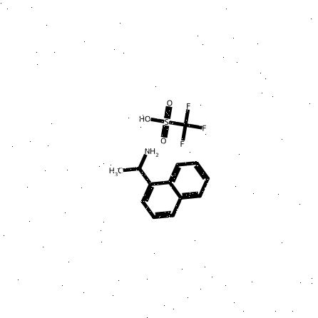 CC(N)c1cccc2ccccc12.O=S(=O)(O)C(F)(F)F